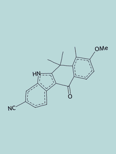 COc1ccc2c(c1C)C(C)(C)c1[nH]c3cc(C#N)ccc3c1C2=O